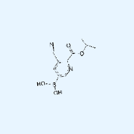 CC(C)OC(=O)c1ncc(B(O)O)cc1C#N